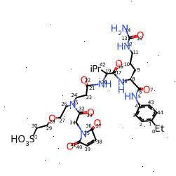 CCc1ccc(NC(=O)[C@H](CCCNC(N)=O)NC(=O)C(NC(=O)CCN(CCOCCS(=O)(=O)O)C(=O)CN2C(=O)C=CC2=O)C(C)C)cc1